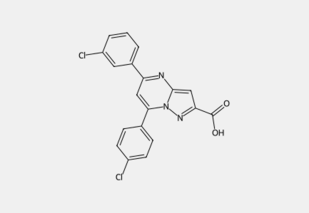 O=C(O)c1cc2nc(-c3cccc(Cl)c3)cc(-c3ccc(Cl)cc3)n2n1